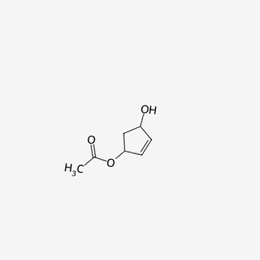 CC(=O)OC1C=CC(O)C1